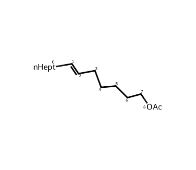 CCCCCCCC=CCCCCCOC(C)=O